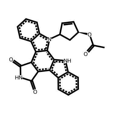 CC(=O)O[C@@H]1C=CC(n2c3ccccc3c3c4c(c5c6ccccc6[nH]c5c32)C(=O)NC4=O)C1